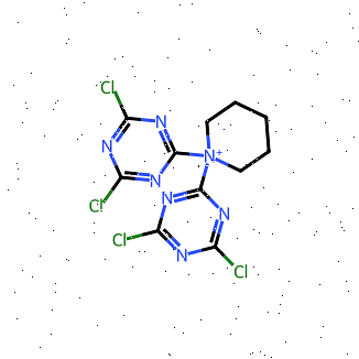 Clc1nc(Cl)nc([N+]2(c3nc(Cl)nc(Cl)n3)CCCCC2)n1